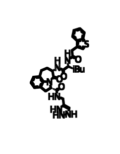 CC[C@H](C)[C@H](NC(=O)Cc1csc2ccccc12)C(=O)N[C@H]1CCc2cccc3c2N(C1=O)[C@H](C(=O)NCC1=CNNN1)C3